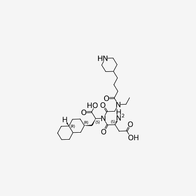 CCN(CC(=O)N(C(=O)[C@@H](N)CC(=O)O)[C@@H](C[C@@H]1CC[C@H]2CCCCC2C1)C(=O)O)C(=O)CCCC1CCNCC1